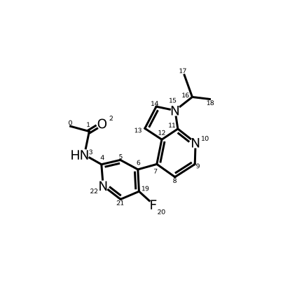 CC(=O)Nc1cc(-c2ccnc3c2ccn3C(C)C)c(F)cn1